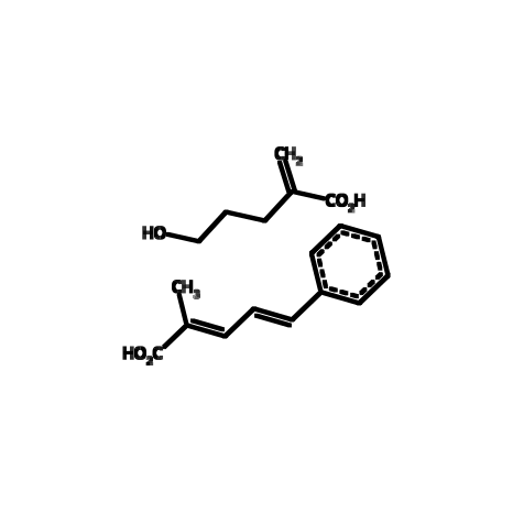 C=C(CCCO)C(=O)O.CC(=CC=Cc1ccccc1)C(=O)O